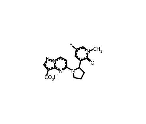 Cn1cc(F)cc(C2CCCN2c2ccn3ncc(C(=O)O)c3n2)c1=O